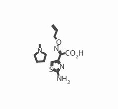 C=CCON=C(C(=O)O)c1csc(N)n1.CN1CCCC1